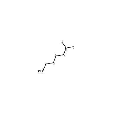 CCCC[CH]CCN(C)C